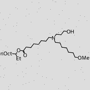 CCCCCCCCC(CC)OC(=O)CCCCCCCN(CCCO)CCCCCCCOC